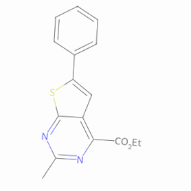 CCOC(=O)c1nc(C)nc2sc(-c3ccccc3)cc12